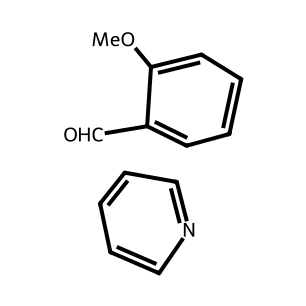 COc1ccccc1C=O.c1ccncc1